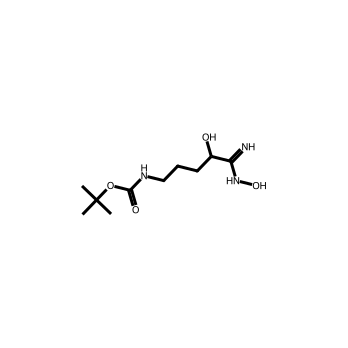 CC(C)(C)OC(=O)NCCCC(O)C(=N)NO